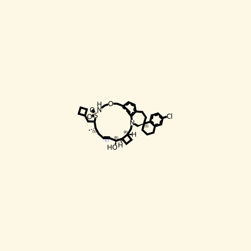 C[C@H]1C/C=C/[C@H](O)[C@@H]2CC[C@H]2CN2C[C@@]3(CCCc4cc(Cl)ccc43)CCc3ccc(cc32)COCNS(=O)(=O)C1CC1CCC1